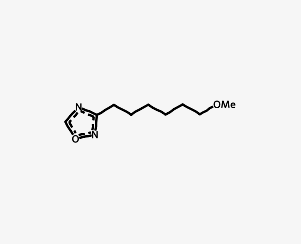 COCCCCCCc1ncon1